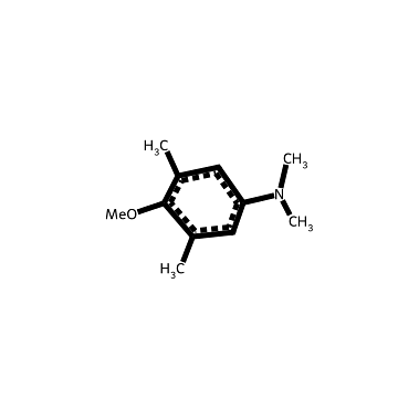 COc1c(C)cc(N(C)C)cc1C